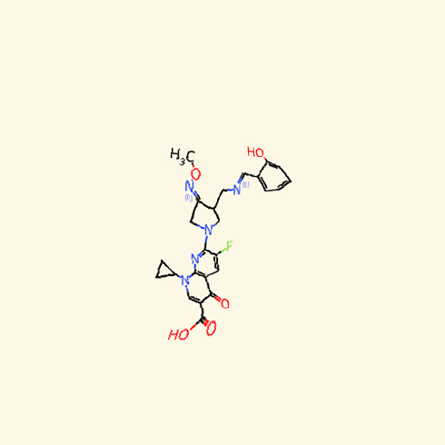 CO/N=C1/CN(c2nc3c(cc2F)c(=O)c(C(=O)O)cn3C2CC2)CC1C/N=C/c1ccccc1O